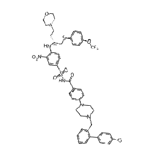 O=C(NS(=O)(=O)c1ccc(N[C@H](CCN2CCOCC2)CSc2ccc(OC(F)(F)F)cc2)c([N+](=O)[O-])c1)c1ccc(N2CCN(Cc3ccccc3-c3ccc(Cl)cc3)CC2)cc1